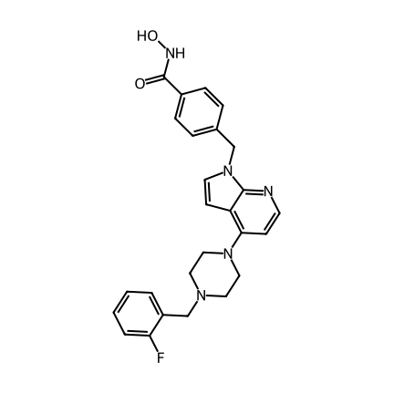 O=C(NO)c1ccc(Cn2ccc3c(N4CCN(Cc5ccccc5F)CC4)ccnc32)cc1